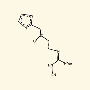 CN/C(=N/CC[S+]([O-])Cc1ccsn1)NC#N